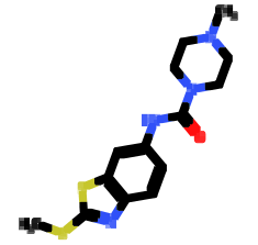 CSc1nc2ccc(NC(=O)N3CCN(C)CC3)cc2s1